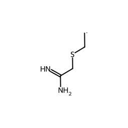 [CH2]CSCC(=N)N